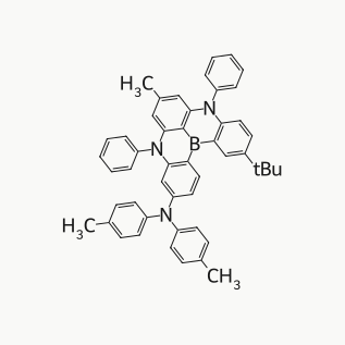 Cc1ccc(N(c2ccc(C)cc2)c2ccc3c(c2)N(c2ccccc2)c2cc(C)cc4c2B3c2cc(C(C)(C)C)ccc2N4c2ccccc2)cc1